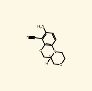 N#Cc1c(N)ccc2c1OC[C@H]1COCCN21